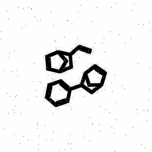 C1=CC2CC1CC2c1ccccc1.C=CC1CC2C=CC1C2